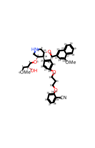 COC[C@@H](O)CO[C@@H]1CNC[C@H](OCc2cc(OC)c3ccccc3c2)[C@H]1c1ccc(OCCCOc2ccccc2C#N)cc1